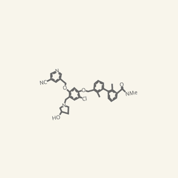 CNC(=O)c1cccc(-c2cccc(COc3cc(OCc4cncc(C#N)c4)c(CN4CCC(O)C4)cc3Cl)c2C)c1C